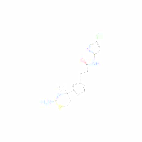 CC1(c2cccc(CCC(=O)Nc3ccc(Cl)cn3)c2)CCSC(N)=N1